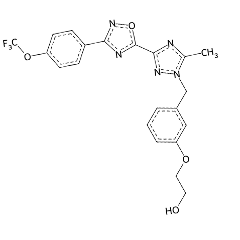 Cc1nc(-c2nc(-c3ccc(OC(F)(F)F)cc3)no2)nn1Cc1cccc(OCCO)c1